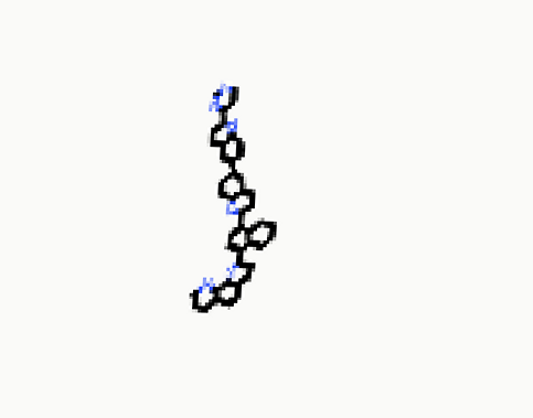 c1cnc2c(c1)ccc1ccc(-c3ccc(-c4ccc5cc(-c6ccc7nc(-c8ccncn8)ccc7c6)ccc5n4)c4ccccc34)nc12